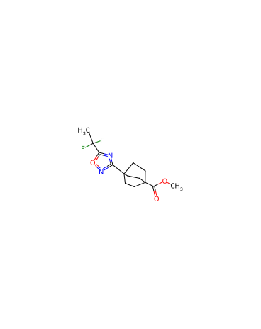 COC(=O)C12CCC(c3noc(C(C)(F)F)n3)(CC1)CC2